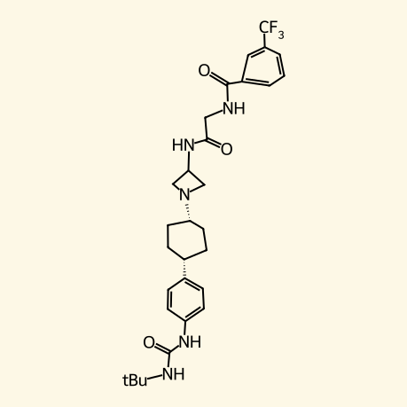 CC(C)(C)NC(=O)Nc1ccc([C@H]2CC[C@@H](N3CC(NC(=O)CNC(=O)c4cccc(C(F)(F)F)c4)C3)CC2)cc1